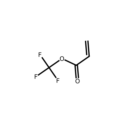 C=CC(=O)OC(F)(F)F